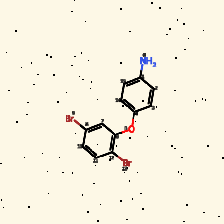 Nc1ccc(Oc2cc(Br)ccc2Br)cc1